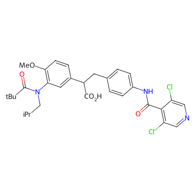 COc1ccc(C(Cc2ccc(NC(=O)c3c(Cl)cncc3Cl)cc2)C(=O)O)cc1N(CC(C)C)C(=O)C(C)(C)C